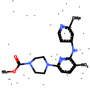 COc1cc(Nc2nc(N3CCN(C(=O)OC(C)(C)C)CC3)ccc2[N+](=O)[O-])ccn1